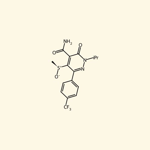 CC(C)n1nc(-c2ccc(C(F)(F)F)cc2)c([S@+](C)[O-])c(C(N)=O)c1=O